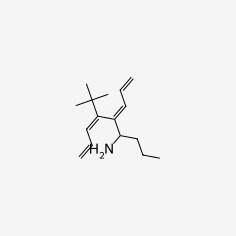 C=C/C=C(\C(=C/C=C)C(N)CCC)C(C)(C)C